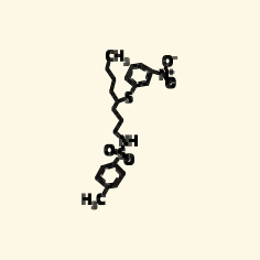 CCCCC(CCCNS(=O)(=O)c1ccc(C)cc1)Sc1cccc([N+](=O)[O-])c1